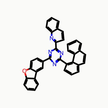 c1ccc2nc(-c3nc(-c4ccc5oc6ccccc6c5c4)nc(-c4cccc5ccc6ccccc6c45)n3)ccc2c1